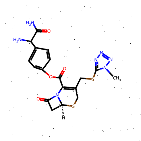 Cn1nnnc1SCC1=C(C(=O)Oc2ccc(C(N)C(N)=O)cc2)N2C(=O)C[C@@H]2SC1